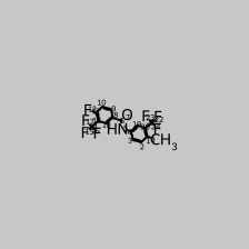 Cc1ccc(NC(=O)c2ccc(F)c(C(F)(F)F)c2)cc1C(F)(F)F